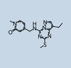 CCc1cnn2c(NCc3ccn(C)c(=O)c3)nc(SC)nc12